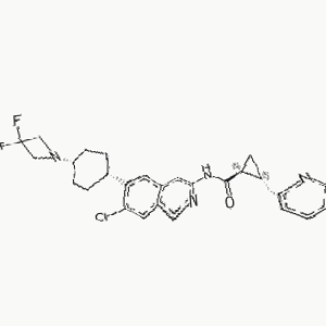 O=C(Nc1cc2cc([C@H]3CC[C@@H](N4CC(F)(F)C4)CC3)c(Cl)cc2cn1)[C@H]1C[C@@H]1c1ccccn1